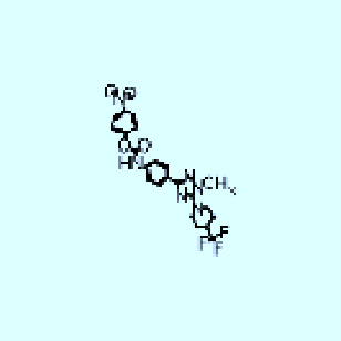 Cn1nc(-c2ccc(NC(=O)Oc3ccc([N+](=O)[O-])cc3)cc2)nc1N1CCC(C(F)(F)F)CC1